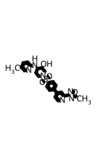 Cc1ccc(N[C@@H]2CCN(S(=O)(=O)c3ccc(-c4ccnc(-c5noc(C)n5)c4)cc3)C[C@@H]2O)nc1